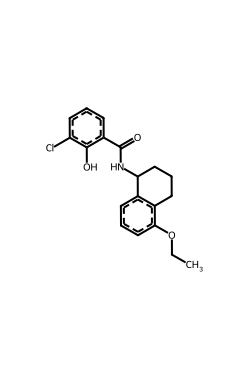 CCOc1cccc2c1CCCC2NC(=O)c1cccc(Cl)c1O